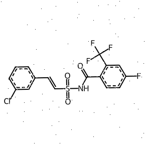 O=C(NS(=O)(=O)C=Cc1cccc(Cl)c1)c1ccc(F)cc1C(F)(F)F